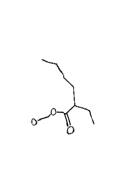 CCCCC(CC)C(=O)O[O]